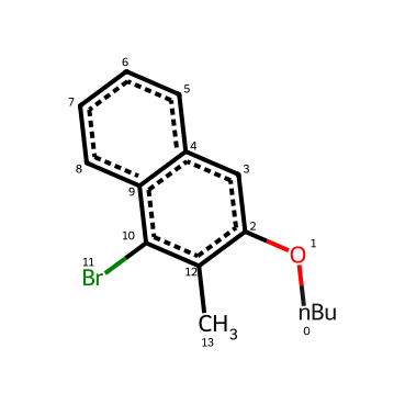 CCCCOc1cc2ccccc2c(Br)c1C